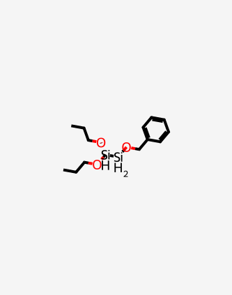 CCCO[SiH](OCCC)[SiH2]OCc1ccccc1